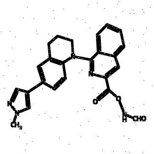 Cn1cc(-c2ccc3c(c2)CCCN3c2nc(C(=O)ONC=O)cc3ccccc23)cn1